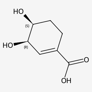 O=C(O)C1=C[C@@H](O)[C@@H](O)CC1